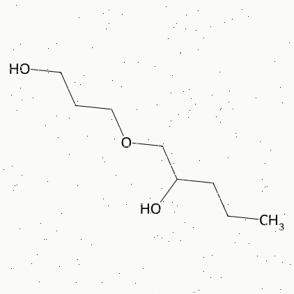 CCCC(O)COCCCO